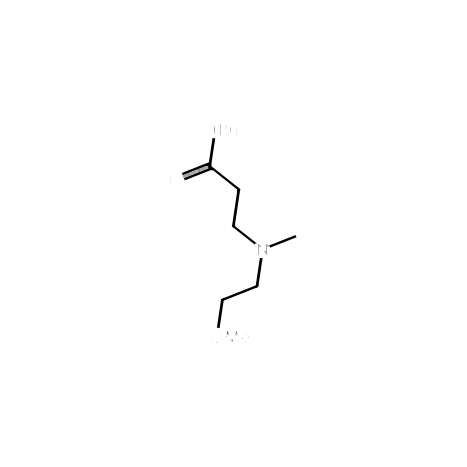 COCCN(C)CCC(=O)C(C)(C)C